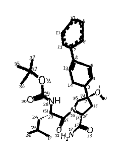 CO[C@@]1(C2C=CC(c3ccccc3)=CC2)C[C@@H](C(N)=O)N(C(=O)[C@H](CC(C)C)NC(=O)OC(C)(C)C)C1